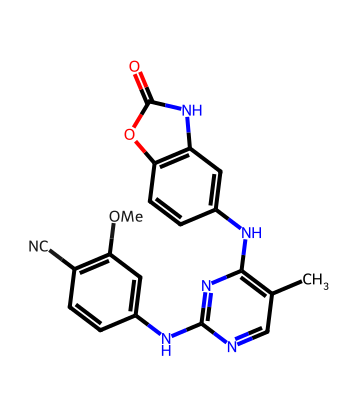 COc1cc(Nc2ncc(C)c(Nc3ccc4oc(=O)[nH]c4c3)n2)ccc1C#N